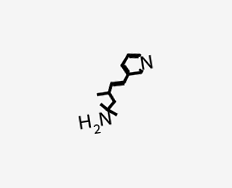 CC(C=Cc1cccnc1)CC(C)(C)N